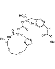 CC(C)[C@H]1COCCCCn2cnc(c2)C[C@@H](NC(=O)N[C@](Cc2ccc(NC(=O)OC(C)(C)C)nc2)(C(=O)O)C(C)(C)C)C(=O)N1